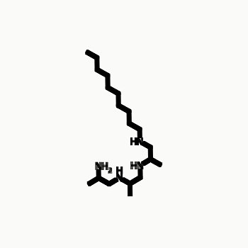 CCCCCCCCCCNCC(C)NCC(C)NCC(C)N